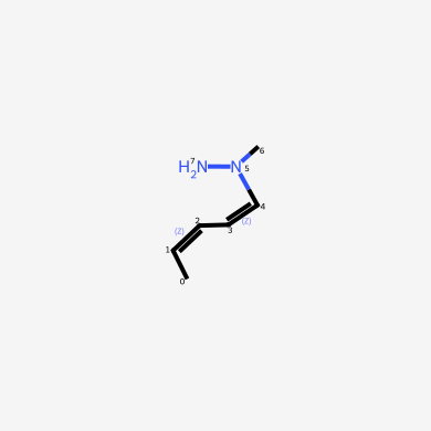 C/C=C\C=C/N(C)N